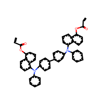 C=CC(=O)Oc1cccc2c(N(c3ccccc3)c3ccc(-c4ccc(N(c5ccccc5)c5cccc6c(OC(=O)C=C)cccc56)cc4)cc3)cccc12